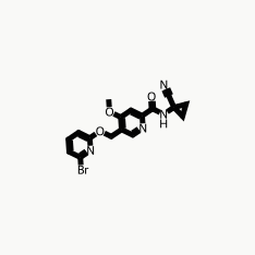 COc1cc(C(=O)NC2(C#N)CC2)ncc1COc1cccc(Br)n1